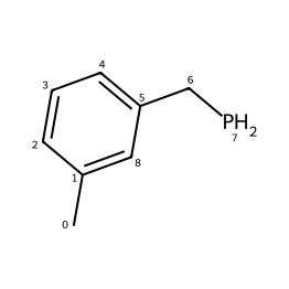 Cc1cccc(CP)c1